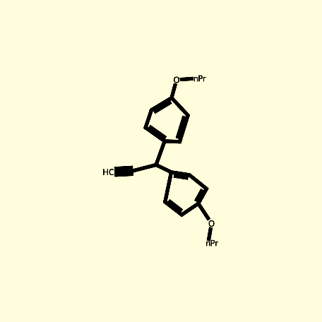 C#CC(c1ccc(OCCC)cc1)c1ccc(OCCC)cc1